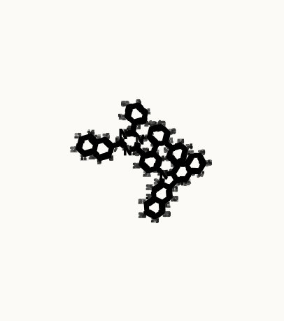 c1ccc(-c2nc(-c3ccc4ccccc4c3)nc(-c3ccc(-n4c5cc6ccccc6cc5c5cc6ccccc6cc54)cc3-c3ccccc3-c3ccccc3)n2)cc1